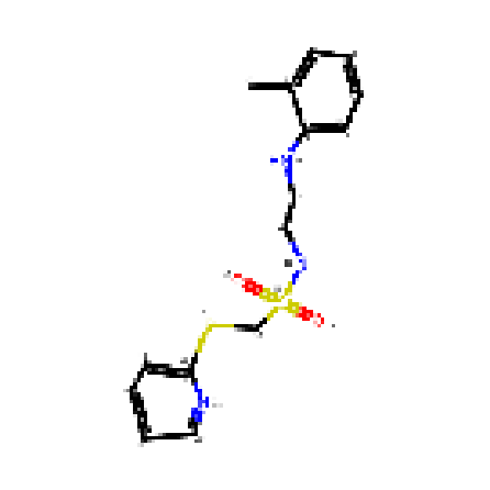 Cc1ccccc1NCCNS(=O)(=O)CSc1ccccn1